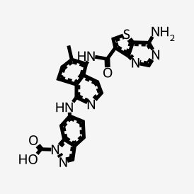 Cc1ccc2c(Nc3ccc4cnn(C(=O)O)c4c3)nccc2c1NC(=O)c1csc2c(N)ncnc12